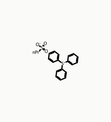 CCCS(=O)(=O)[O-].c1ccc([S+](c2ccccc2)c2ccccc2)cc1